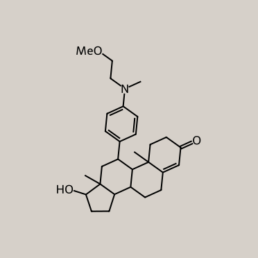 COCCN(C)c1ccc(C2CC3(C)C(O)CCC3C3CCC4=CC(=O)CCC4(C)C23)cc1